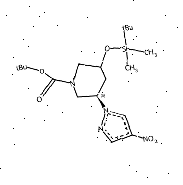 CC(C)(C)OC(=O)N1CC(O[Si](C)(C)C(C)(C)C)C[C@@H](n2cc([N+](=O)[O-])cn2)C1